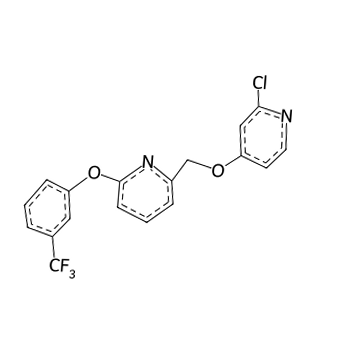 FC(F)(F)c1cccc(Oc2cccc(COc3ccnc(Cl)c3)n2)c1